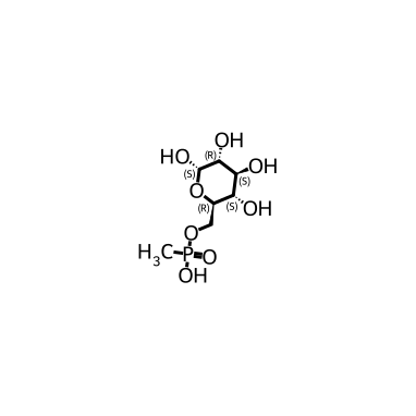 CP(=O)(O)OC[C@H]1O[C@H](O)[C@H](O)[C@@H](O)[C@@H]1O